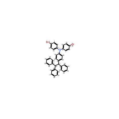 Brc1ccc(N(c2ccc(Br)cc2)c2ccc(C(c3ccccc3)C(c3ccccc3)c3ccccc3)cc2)cc1